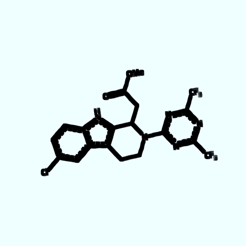 COC(=O)CC1c2[nH]c3ccc(Cl)cc3c2CCN1c1nc(C(F)(F)F)nc(C(F)(F)F)n1